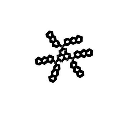 c1ccc2cc3cc(N(C4=NC5=NC(N(c6ccc7cc8ccccc8cc7c6)c6ccc7cc8ccccc8cc7c6)=NC6=NC(N(c7ccc8cc9ccccc9cc8c7)c7ccc8cc9ccccc9cc8c7)=NC(=N4)N56)c4ccc5cc6ccccc6cc5c4)ccc3cc2c1